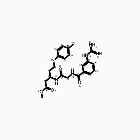 COC(=O)CC(CCSc1ccc(C)cc1)NC(=O)CNC(=O)c1cccc(NC(=N)N)c1